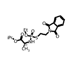 CCOP(=O)(N[C@@H](C)C(=O)OC(C)C)SCCN1C(=O)c2ccccc2C1=O